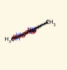 CCCCCCCCCCCCCCCCCC(=O)NC(CCC(=O)NCCOCCOCC(=O)NCCOCCOCC(=O)NOC)C(=O)O